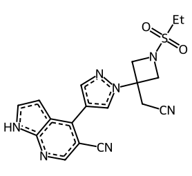 CCS(=O)(=O)N1CC(CC#N)(n2cc(-c3c(C#N)cnc4[nH]ccc34)cn2)C1